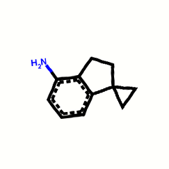 Nc1cccc2c1CCC21CC1